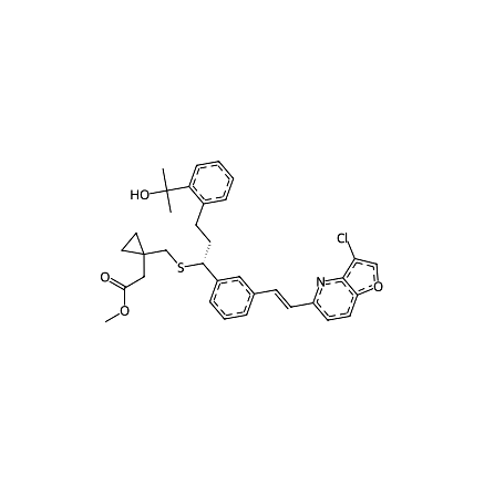 COC(=O)CC1(CS[C@H](CCc2ccccc2C(C)(C)O)c2cccc(C=Cc3ccc4occ(Cl)c4n3)c2)CC1